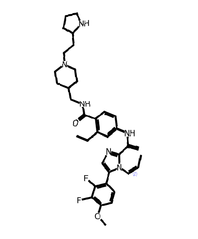 C=C(Nc1ccc(C(=O)NCC2CCN(CCC3CCCN3)CC2)c(CC)c1)c1ncc(-c2ccc(OC)c(F)c2F)n1/C=C\C